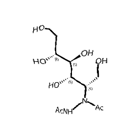 CC(=O)NN(C(C)=O)[C@@H](CO)[C@H](O)[C@H](O)[C@H](O)CO